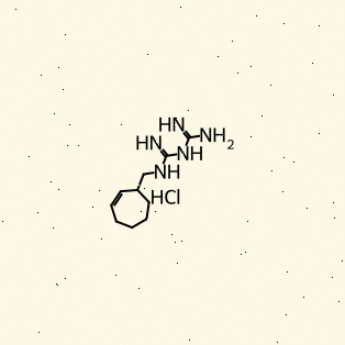 Cl.N=C(N)NC(=N)NCC1C=CCCCC1